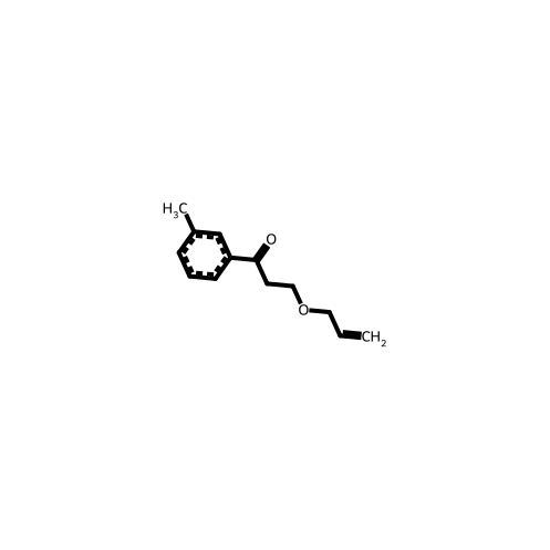 C=CCOCCC(=O)c1cccc(C)c1